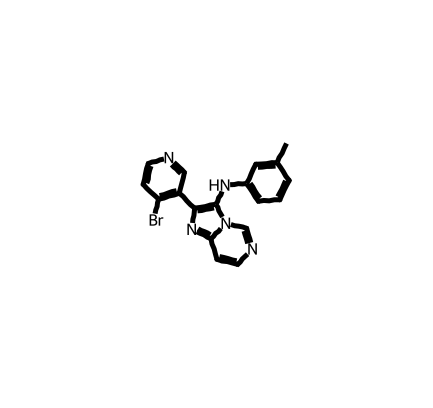 Cc1cccc(Nc2c(-c3cnccc3Br)nc3ccncn23)c1